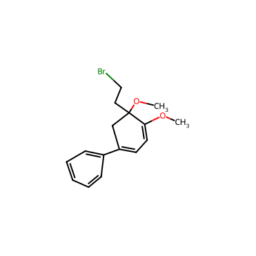 COC1=CC=C(c2ccccc2)CC1(CCBr)OC